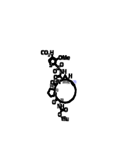 COc1c(C(=O)O)csc1S(=O)(=O)NC(=O)[C@@]12C[C@H]1/C=C\CCCCC[C@H](NC(=O)OC(C)(C)C)C(=O)N1CCC[C@H]1C(=O)N2